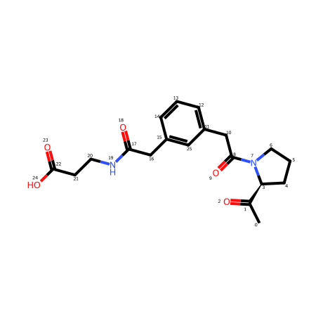 CC(=O)[C@@H]1CCCN1C(=O)Cc1cccc(CC(=O)NCCC(=O)O)c1